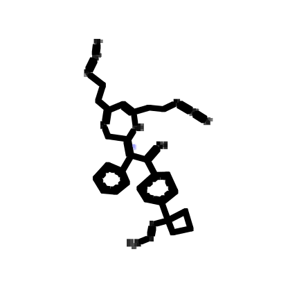 [N-]=[N+]=NCCC1=CC(CCN=[N+]=[N-])=NC/C(=C(/C(=N)c2ccc(C3(N=NN)CCC3)cc2)c2ccccc2)N1